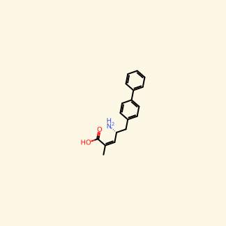 CC(=C[C@H](N)Cc1ccc(-c2ccccc2)cc1)C(=O)O